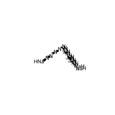 C#N.C#N.C#N.C#N.C#N.C#N.C#N.C#N.C#N.C#N.C#N.C#N.C#N.C#N.C#N.[NaH].[NaH].[NaH]